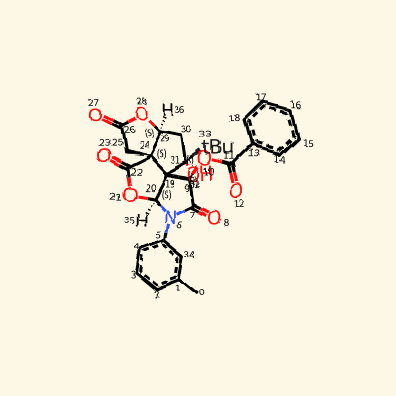 Cc1cccc(N2C(=O)[C@H](OC(=O)c3ccccc3)C34[C@@H]2OC(=O)[C@@]32CC(=O)O[C@H]2C[C@@]4(O)C(C)(C)C)c1